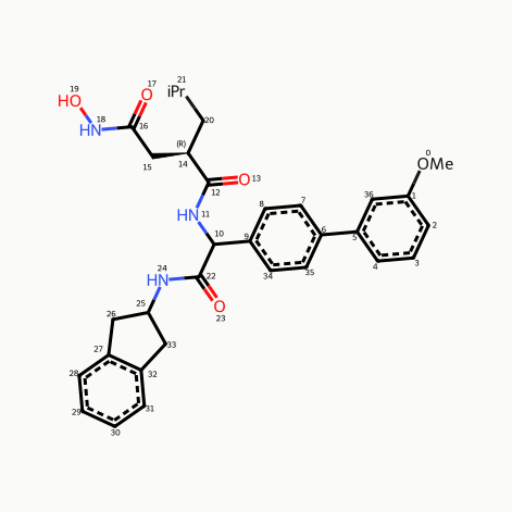 COc1cccc(-c2ccc(C(NC(=O)[C@@H](CC(=O)NO)CC(C)C)C(=O)NC3Cc4ccccc4C3)cc2)c1